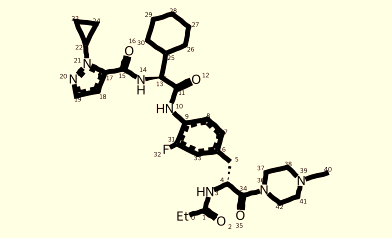 CCC(=O)N[C@H](Cc1ccc(NC(=O)[C@@H](NC(=O)c2ccnn2C2CC2)C2CCCCC2)c(F)c1)C(=O)N1CCN(C)CC1